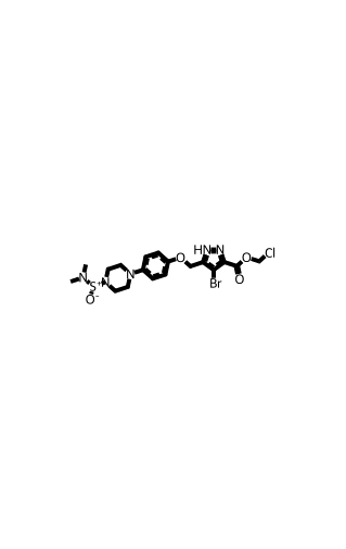 CN(C)[S+]([O-])N1CCN(c2ccc(OCc3[nH]nc(C(=O)OCCl)c3Br)cc2)CC1